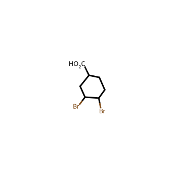 O=C(O)C1CCC(Br)C(Br)C1